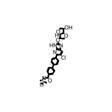 CS(C)(=O)=NC(=O)c1ccc(-c2ccc(-c3nc4[nH]c(O[C@@H]5COC6[C@H](O)CO[C@@H]65)nc4cc3Cl)cc2)cc1